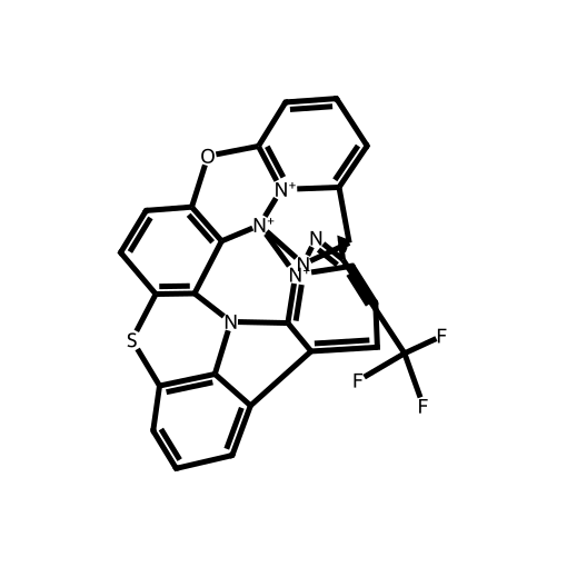 FC(F)(F)c1cc2n(n1)[N+]13c4c(ccc5c4-n4c6c(cccc6c6ccc[n+]1c64)S5)Oc1cccc-2[n+]13